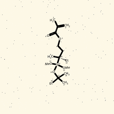 C=C(C)C(=O)OCC[C@@](C)(CC)[Si](OC)(OC)OC(C)(C)CC